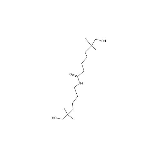 CC(C)(CO)CCCCNC(=O)CCCCC(C)(C)CO